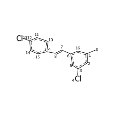 Cc1cc(Cl)cc(/C=C/c2ccc(Cl)cc2)c1